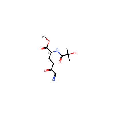 CC(C)OC(=O)[C@H](CCC(=O)C=N)NC(=O)C(C)(C)O